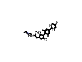 C/C=C/CNC(=O)CC1CC(=O)C(c2c(C)cc(-c3ncc(F)cn3)cc2C)C1=O